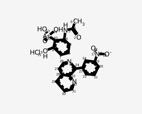 CC(=O)Nc1cccc(O)c1[As](=O)(O)O.Cl.O=[N+]([O-])c1cccc(-c2nccc3cccnc23)c1